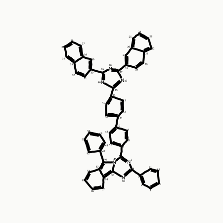 c1ccc(-c2nc(-c3ccc(-c4ccc(-c5nc(-c6ccc7ccccc7c6)nc(-c6ccc7ccccc7c6)n5)cc4)cc3)n3c(-c4ccccc4)c4ccccc4c3n2)cc1